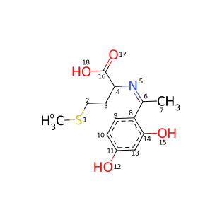 CSCCC(/N=C(/C)c1ccc(O)cc1O)C(=O)O